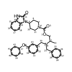 CC(COC(=O)N1CCC(n2c(=O)[nH]c3ccccc32)CC1)N(Cc1ccccc1)Cc1cccc(Oc2ccccc2)c1